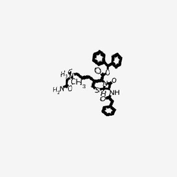 C[N+](C)(C/C=C/C1=C(C(=O)OC(c2ccccc2)c2ccccc2)N2C(=O)[C@@H](NC(=O)Cc3ccccc3)[C@H]2SC1)CC(N)=O